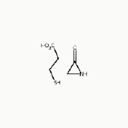 O=C(O)CCS.O=C1CN1